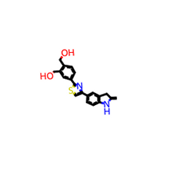 C=C1Cc2cc(-c3csc(-c4ccc(CO)c(CO)c4)n3)ccc2N1